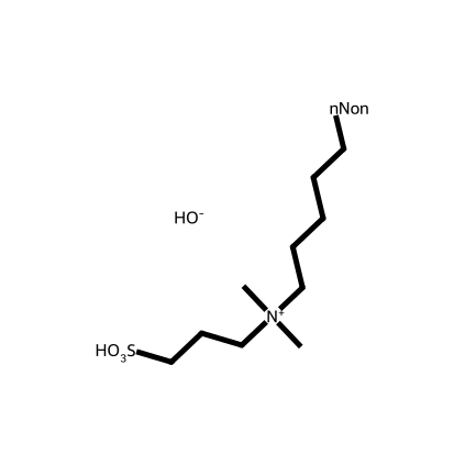 CCCCCCCCCCCCCC[N+](C)(C)CCCS(=O)(=O)O.[OH-]